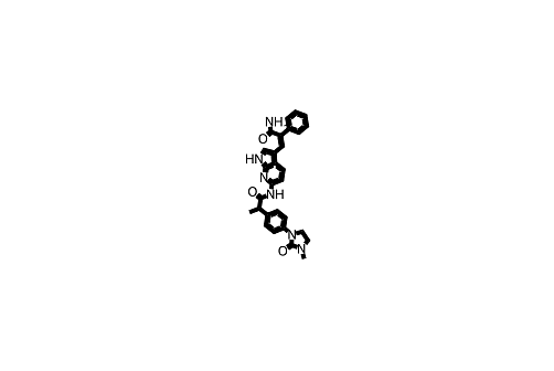 CC(C(=O)Nc1ccc2c(C=C(C(N)=O)c3ccccc3)c[nH]c2n1)c1ccc(N2CCN(C)C2=O)cc1